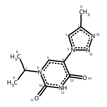 Cc1cn(-c2cn(C(C)C)c(=O)[nH]c2=O)nn1